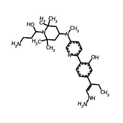 CC/C(=C\NN)c1ccc(-c2ccc(N(C)C3CC(C)(C)N(C(O)CCN)C(C)(C)C3)cn2)c(O)c1